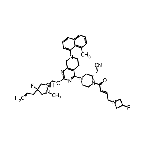 C=CCC1(F)CN(C)[Si@H](COc2nc3c(c(N4CCN(C(=O)/C=C/CN5CC(F)C5)[C@@H](CC#N)C4)n2)CCN(c2cccc4cccc(C)c24)C3)C1